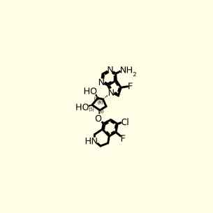 Nc1ncnc2c1c(F)cn2[C@@H]1C[C@H](Oc2cc(Cl)c(F)c3c2CNCC3)[C@@H](O)[C@H]1O